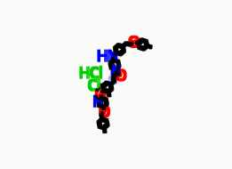 Cc1ccc(COc2ccc(Oc3c(C)cc(/C=C/C(=O)N4CCC(Nc5ccc(CCOc6ccc(C)cc6)cc5)CC4)cc3Cl)nc2)cc1.Cl